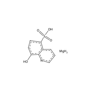 O=S(=O)(O)c1ccc(O)c2ncccc12.[MgH2]